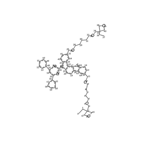 CCC1(COCCCCCOCc2ccc3sc4c(ccc5c4c4cc(COCCCCCOCC6(CC)COC6)ccc4n5-c4nc(-c5ccccc5)cc(-c5ccccc5)n4)c3c2)COC1